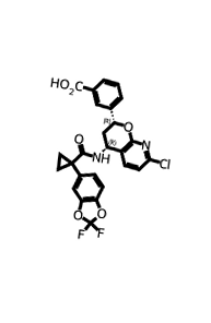 O=C(O)c1cccc([C@H]2C[C@@H](NC(=O)C3(c4ccc5c(c4)OC(F)(F)O5)CC3)c3ccc(Cl)nc3O2)c1